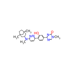 CN(c1ccc(-c2ccc(-c3ncn(C)c(=O)n3)cc2O)nn1)[C@H]1C[C@]2(C)CC[C@](C)(C1)C2